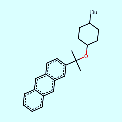 CCC(C)C1CCC(OC(C)(C)c2ccc3cc4ccccc4cc3c2)CC1